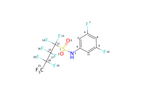 O=S(=O)(Nc1cc(F)cc(F)c1)C(F)(F)C(F)(F)C(F)(F)C(F)(F)F